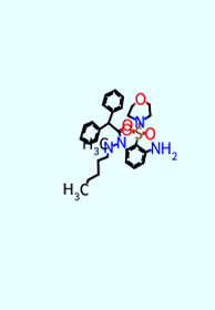 CCCCCN(C)N(C(=O)C(c1ccccc1)c1ccccc1)c1cccc(N)c1S(=O)(=O)N1CCOCC1